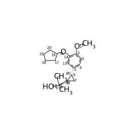 COc1ccc([C@@H]2C[C@H]2C(C)(C)O)cc1OC1CCCC1